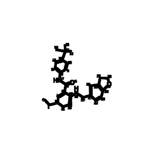 CCC1C=C(C(=O)Nc2ccc(C(C)(C)C)cc2)C(NCc2ccc3c(c2)CCO3)=NC1